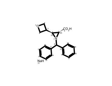 O=C(O)[C@H]1[C@H](C2COC2)N1C(c1ccccc1)c1ccccc1.[NaH]